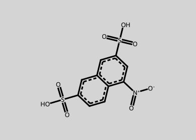 O=[N+]([O-])c1cc(S(=O)(=O)O)cc2cc(S(=O)(=O)O)ccc12